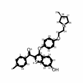 Cc1ccc(C(=O)c2sc3cc(O)ccc3c2Oc2ccc(OCCN3CC[C@H](C)C3)cc2)cc1